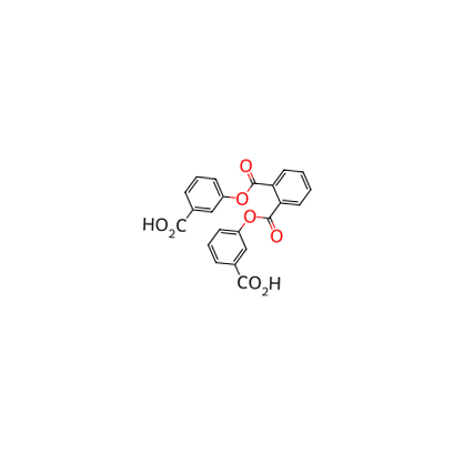 O=C(O)c1cccc(OC(=O)c2ccccc2C(=O)Oc2cccc(C(=O)O)c2)c1